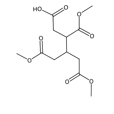 COC(=O)CC(CC(=O)OC)C(CC(=O)O)C(=O)OC